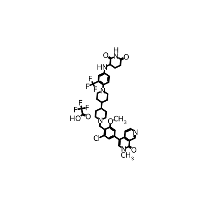 COc1cc(-c2cn(C)c(=O)c3cnccc23)cc(Cl)c1CN1CCC(C2CCN(c3ccc(NC4CCC(=O)NC4=O)cc3C(F)(F)F)CC2)CC1.O=C(O)C(F)(F)F